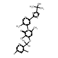 [2H]C([2H])(Oc1cc(C)n(-c2cc(-c3nc(C(C)(C)O)cs3)ncc2C)c(=O)c1Cl)c1ncc(F)cc1F